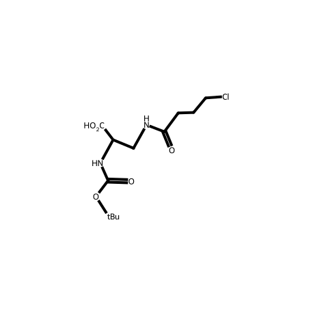 CC(C)(C)OC(=O)NC(CNC(=O)CCCCl)C(=O)O